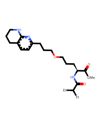 CCC(CC)C(=O)N[C@@H](CCCOCCCc1ccc2c(n1)NCCC2)C(=O)OC